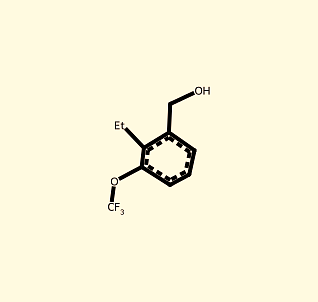 CCc1c(CO)cccc1OC(F)(F)F